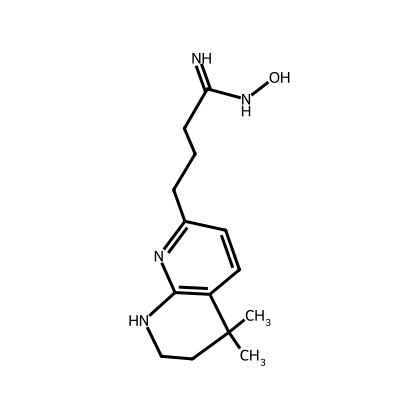 CC1(C)CCNc2nc(CCCC(=N)NO)ccc21